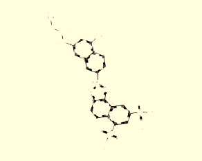 O=S(=O)(O)c1cc(S(=O)(=O)O)c2ccc3nn(-c4ccc5c(O)cc(SOOO)cc5c4)nc3c2c1